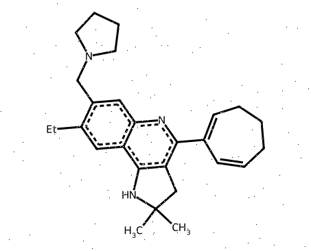 CCc1cc2c3c(c(C4=CCCCC=C4)nc2cc1CN1CCCC1)CC(C)(C)N3